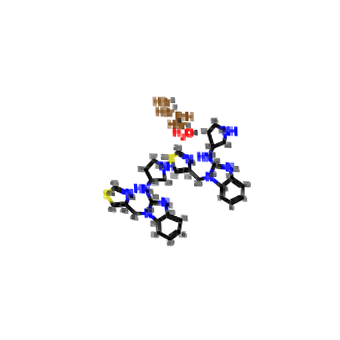 Br.Br.Br.Br.O.c1ccc2c(c1)nc(NC1CCNC1)n2Cc1cscn1.c1ccc2c(c1)nc(NC1CCNC1)n2Cc1cscn1